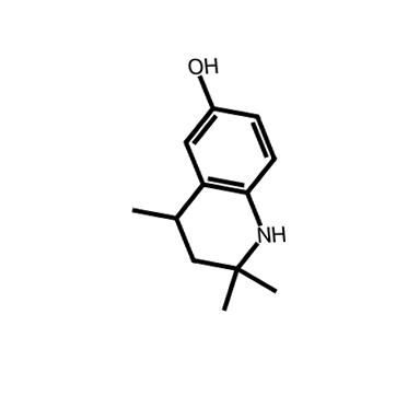 CC1CC(C)(C)Nc2ccc(O)cc21